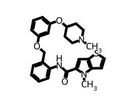 CN1CCC(Oc2cccc(OCc3ccccc3NC(=O)c3cc4sccc4n3C)c2)CC1